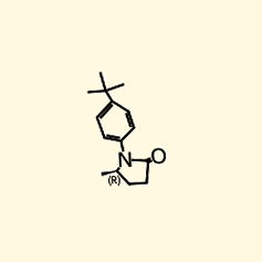 C[C@@H]1CCC(=O)N1c1ccc(C(C)(C)C)cc1